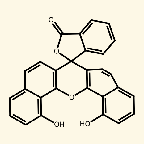 O=C1OC2(c3ccccc31)c1ccc3cccc(O)c3c1Oc1c2ccc2cccc(O)c12